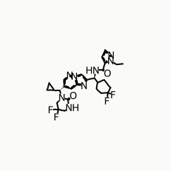 CCn1nccc1C(=O)N[C@H](c1cn2ncc([C@@H](C3CC3)N3CC(F)(F)CNC3=O)cc2n1)C1CCC(F)(F)CC1